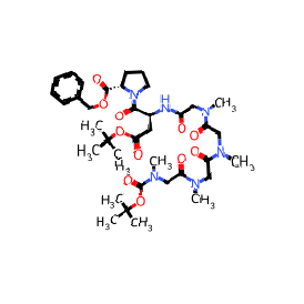 CN(CC(=O)N[C@@H](CC(=O)OC(C)(C)C)C(=O)N1CCC[C@H]1C(=O)OCc1ccccc1)C(=O)CN(C)C(=O)CN(C)C(=O)CN(C)C(=O)OC(C)(C)C